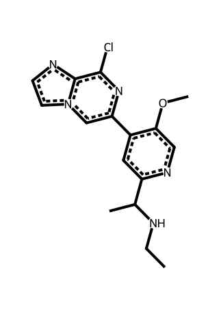 CCNC(C)c1cc(-c2cn3ccnc3c(Cl)n2)c(OC)cn1